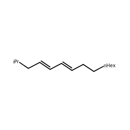 CCCCCCCCC=CC=CCC(C)C